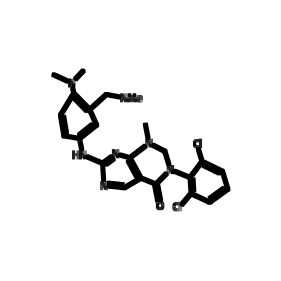 CNCc1cc(Nc2ncc3c(n2)N(C)CN(c2c(Cl)cccc2Cl)C3=O)ccc1N(C)C